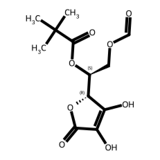 CC(C)(C)C(=O)O[C@@H](COC=O)[C@H]1OC(=O)C(O)=C1O